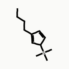 CCCCC1=CC([Si](C)(C)C)C=C1